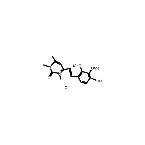 COc1c(O)ccc(C=Cc2cc(C)n(C)c(=O)[n+]2C)c1OC.[Cl-]